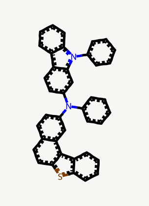 c1ccc(N(c2ccc3ccc4sc5ccccc5c4c3c2)c2ccc3c4ccccc4n(-c4ccccc4)c3c2)cc1